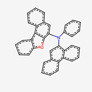 c1ccc(N(c2cc3ccccc3c3ccccc23)c2cc3ccccc3c3c2oc2ccccc23)cc1